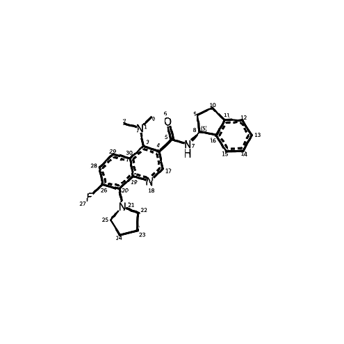 CN(C)c1c(C(=O)N[C@H]2CCc3ccccc32)cnc2c(N3CCCC3)c(F)ccc12